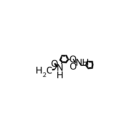 C=CC(=O)Nc1cccc(OC(=O)NCc2ccccc2)c1